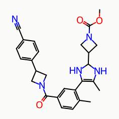 COC(=O)N1CC(C2NC(C)=C(c3cc(C(=O)N4CC(c5ccc(C#N)cc5)C4)ccc3C)N2)C1